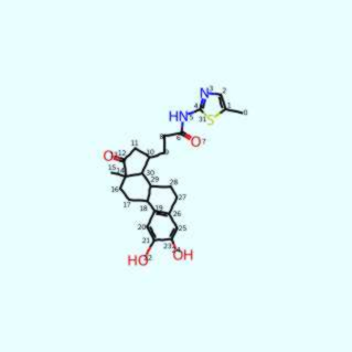 Cc1cnc(NC(=O)CCC2CC(=O)C3(C)CCC4c5cc(O)c(O)cc5CCC4C23)s1